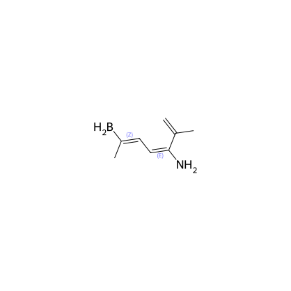 B/C(C)=C/C=C(/N)C(=C)C